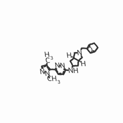 Cc1cnn(C)c1-c1ccc(NC2C[C@@H]3CN(CC4CC5CCC4O5)C[C@@H]3C2)nn1